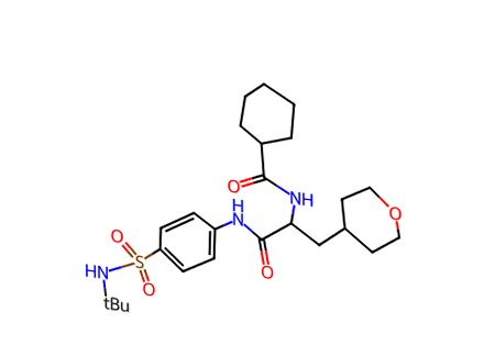 CC(C)(C)NS(=O)(=O)c1ccc(NC(=O)C(CC2CCOCC2)NC(=O)C2CCCCC2)cc1